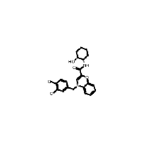 O=C(N[C@H]1CCCC[C@@H]1O)C1=CN(Cc2ccc(Cl)c(Cl)c2)c2ccccc2O1